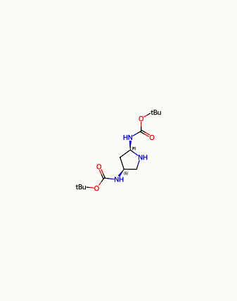 CC(C)(C)OC(=O)N[C@@H]1CN[C@H](NC(=O)OC(C)(C)C)C1